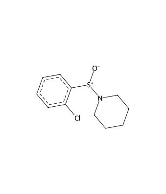 [O-][S+](c1ccccc1Cl)N1CCCCC1